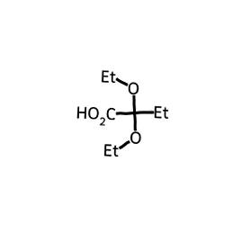 [CH2]CC(OCC)(OCC)C(=O)O